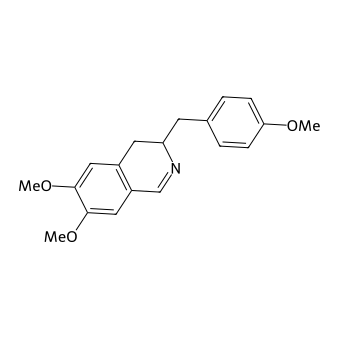 COc1ccc(CC2Cc3cc(OC)c(OC)cc3C=N2)cc1